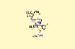 C=C(c1cc(F)ccc1OCCNCCC)N1CCCCC1C(/C=C(C)/N=C(\C=C(C)C)C1CCC1)=N/C